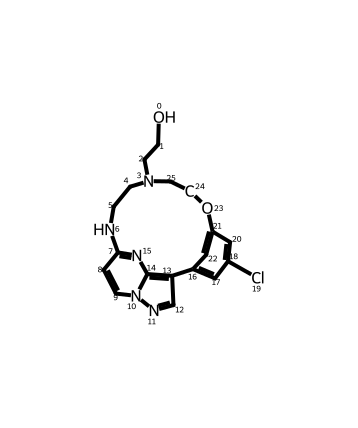 OCCN1CCNc2ccn3ncc(c3n2)-c2cc(Cl)cc(c2)OCC1